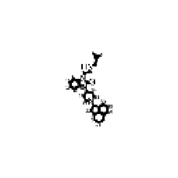 O=c1n(CCNCC2CC2)c2ccccc2n1C1CCN(C2CC3CCCc4cccc2c43)CC1